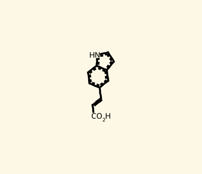 O=C(O)C=Cc1ccc2[nH]ccc2c1